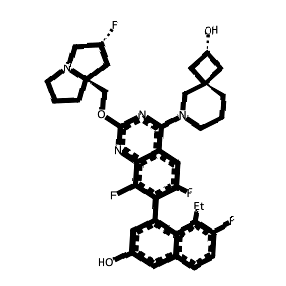 CCc1c(F)ccc2cc(O)cc(-c3c(F)cc4c(N5CCC[C@]6(C5)C[C@@H](O)C6)nc(OC[C@@]56CCCN5C[C@H](F)C6)nc4c3F)c12